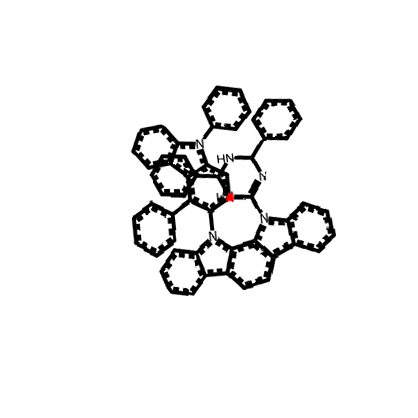 c1ccc(-c2c(-n3c4ccccc4c4ccc5c6ccccc6n(C6=NC(c7ccccc7)NC(c7ccccc7)N6)c5c43)ccc3c2c2ccccc2n3-c2ccccc2)cc1